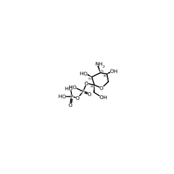 N[C@H]1[C@@H](O)CO[C@](CO)(OP(=O)(O)OP(=O)(O)O)[C@H]1O